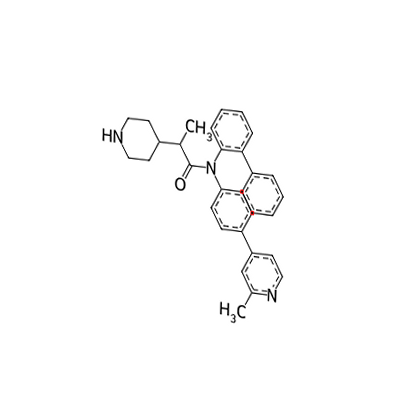 Cc1cc(-c2ccc(N(C(=O)C(C)C3CCNCC3)c3ccccc3-c3ccccc3)cc2)ccn1